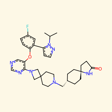 CC(C)n1nccc1-c1cc(F)ccc1Oc1cncnc1N1CC2(CCN(C[C@H]3CC[C@]4(CCC(=O)N4)CC3)CC2)C1